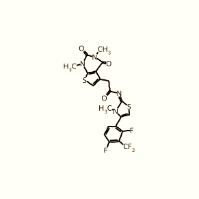 Cn1c(-c2ccc(F)c(C(F)(F)F)c2F)csc1=NC(=O)Cc1csc2c1c(=O)n(C)c(=O)n2C